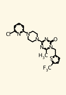 Cc1nc(N2CCN(c3cccc(Cl)n3)CC2)nc(=O)n1Cc1ccc(C(F)(F)F)s1